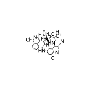 CC(C)(C)CNc1c(C#N)cnc2c(Cl)cc(NC(c3cn(C4(C(F)(F)F)CC4)nn3)c3cccc4c(Cl)nccc34)cc12